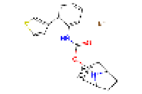 C[N+]1(C)C2CCC1CC(OC(=O)Nc1ccccc1-c1ccsc1)C2.[Br-]